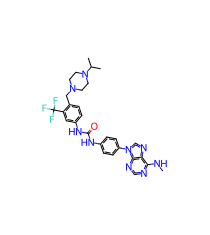 CNc1ncnc2c1ncn2-c1ccc(NC(=O)Nc2ccc(CN3CCN(C(C)C)CC3)c(C(F)(F)F)c2)cc1